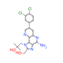 CC(C)(O)Cn1c(CO)nc2c(N)nc3cc(-c4ccc(Cl)c(Cl)c4)cnc3c21